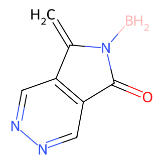 BN1C(=C)c2cnncc2C1=O